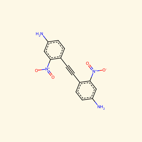 Nc1ccc(C#Cc2ccc(N)cc2[N+](=O)[O-])c([N+](=O)[O-])c1